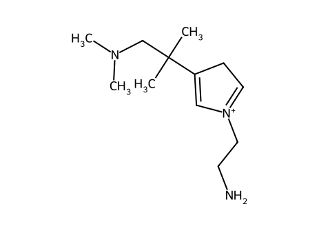 CN(C)CC(C)(C)C1=C[N+](CCN)=CC1